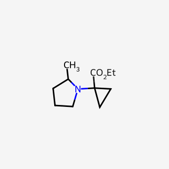 CCOC(=O)C1(N2CCCC2C)CC1